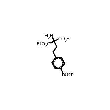 CCCCCCCCc1ccc(CCC(N)(C(=O)OCC)C(=O)OCC)cc1